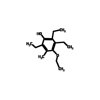 CCOc1c(C)c(CC)c(O)c(CC)c1CC